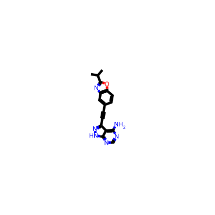 CC(C)c1nc2cc(C#Cc3n[nH]c4ncnc(N)c34)ccc2o1